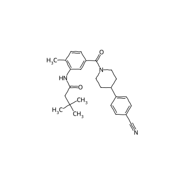 Cc1ccc(C(=O)N2CCC(c3ccc(C#N)cc3)CC2)cc1NC(=O)CC(C)(C)C